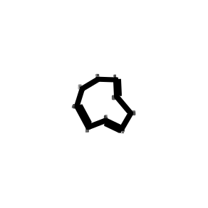 [C]1=C/CC/C=C\C=C\C/1